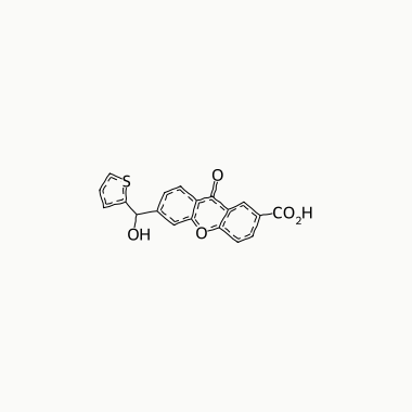 O=C(O)c1ccc2oc3cc(C(O)c4cccs4)ccc3c(=O)c2c1